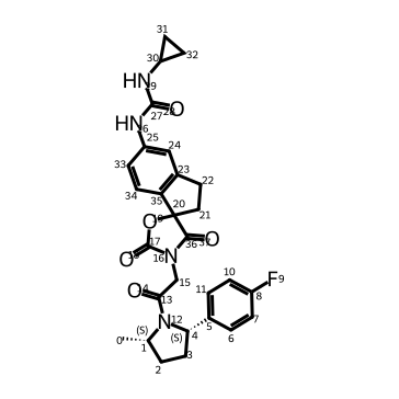 C[C@H]1CC[C@@H](c2ccc(F)cc2)N1C(=O)CN1C(=O)OC2(CCc3cc(NC(=O)NC4CC4)ccc32)C1=O